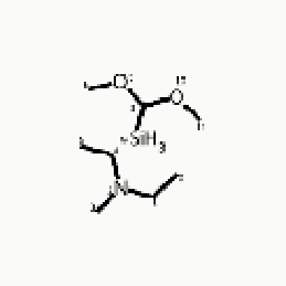 CCN(C)CC.COC([SiH3])OC